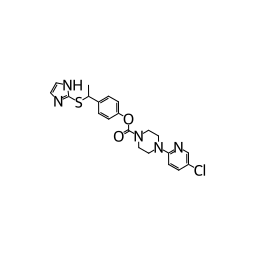 CC(Sc1ncc[nH]1)c1ccc(OC(=O)N2CCN(c3ccc(Cl)cn3)CC2)cc1